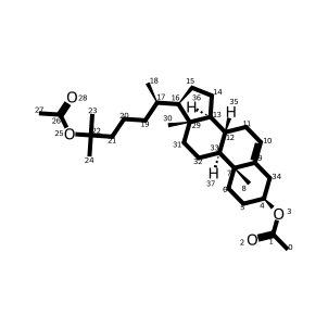 CC(=O)O[C@H]1CC[C@@]2(C)C(=CC[C@H]3[C@@H]4CC[C@H]([C@H](C)CCCC(C)(C)OC(C)=O)[C@@]4(C)CC[C@@H]32)C1